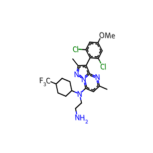 COc1cc(Cl)c(-c2c(C)nn3c(N(CCN)C4CCC(C(F)(F)F)CC4)cc(C)nc23)c(Cl)c1